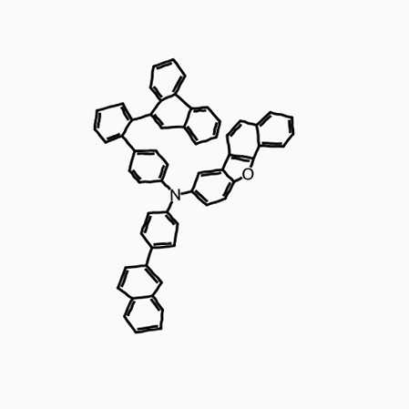 c1ccc(-c2cc3ccccc3c3ccccc23)c(-c2ccc(N(c3ccc(-c4ccc5ccccc5c4)cc3)c3ccc4oc5c6ccccc6ccc5c4c3)cc2)c1